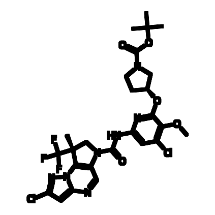 COc1c(Cl)cc(NC(=O)N2C[C@@](C)(C(F)(F)F)c3c2cnc2cc(Cl)nn32)nc1O[C@H]1CCN(C(=O)OC(C)(C)C)C1